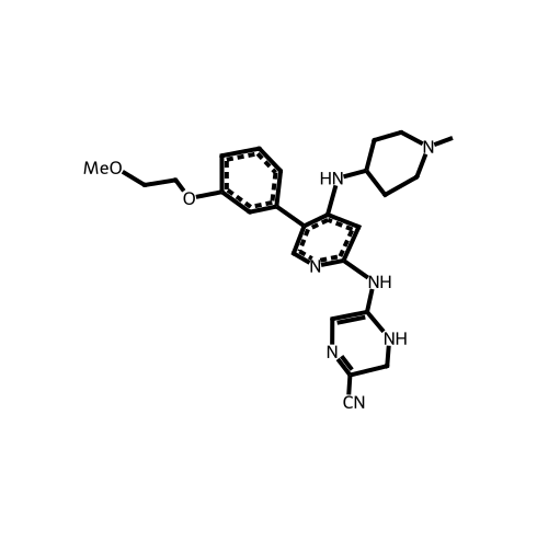 COCCOc1cccc(-c2cnc(NC3=CN=C(C#N)CN3)cc2NC2CCN(C)CC2)c1